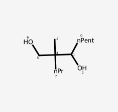 CCCCCC(O)C(C)(CO)CCC